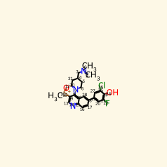 CN(C)CC1CCN(c2c([S+](C)[O-])cnc3ccc(-c4cc(F)c(O)c(Cl)c4)cc23)CC1